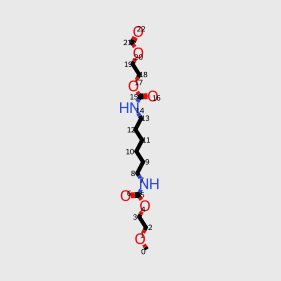 COCCOC(=O)NCCCCCCNC(=O)OCCOC=O